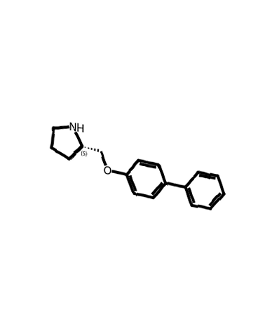 c1ccc(-c2ccc(OC[C@@H]3CCCN3)cc2)cc1